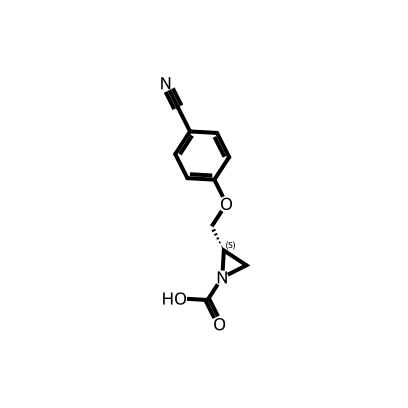 N#Cc1ccc(OC[C@@H]2CN2C(=O)O)cc1